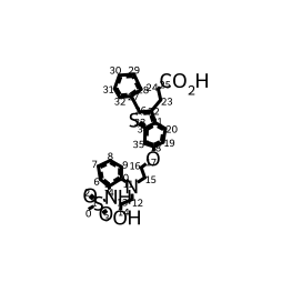 CS(=O)(=O)Nc1ccccc1N(CCO)CCOc1ccc2c(CCC(=O)O)c(-c3ccccc3)sc2c1